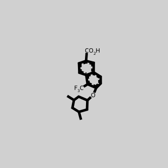 CC1CC(C)CC(Oc2ccc3cc(C(=O)O)ccc3c2C(F)(F)F)C1